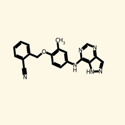 Cc1cc(Nc2ncnc3cn[nH]c23)ccc1OCc1ccccc1C#N